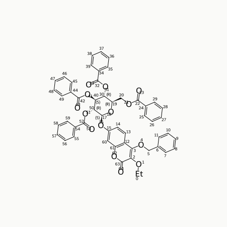 CCOc1c(OCc2ccccc2)c2ccc(O[C@@H]3O[C@H](COC(=O)c4ccccc4)[C@@H](OC(=O)c4ccccc4)[C@H](OC(=O)c4ccccc4)[C@H]3OC(=O)c3ccccc3)cc2oc1=O